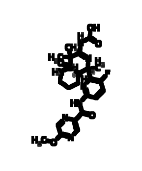 COc1cnc(C(=O)Nc2ccc(F)c([C@@]3(C)N=C(NC(=O)O)C(C)(C)[SH]4(=O)NCCC[C@H]34)n2)cn1